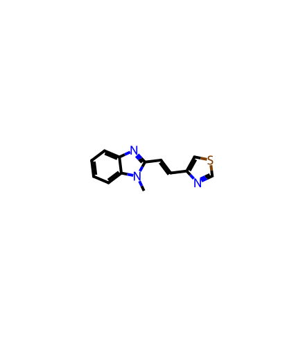 Cn1c(C=Cc2cscn2)nc2ccccc21